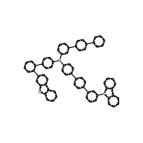 c1ccc(-c2ccc(-c3cccc(N(c4ccc(-c5ccc(-c6cccc(-n7c8ccccc8c8ccccc87)c6)cc5)cc4)c4ccc(-c5ccccc5-c5ccc6c(c5)oc5ccccc56)cc4)c3)cc2)cc1